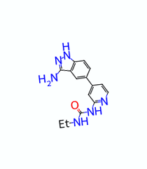 CCNC(=O)Nc1cc(-c2ccc3[nH]nc(N)c3c2)ccn1